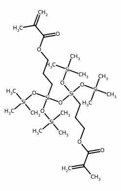 C=C(C)C(=O)OCCC[Si](O[Si](C)(C)C)(O[Si](C)(C)C)O[Si](CCCOC(=O)C(=C)C)(O[Si](C)(C)C)O[Si](C)(C)C